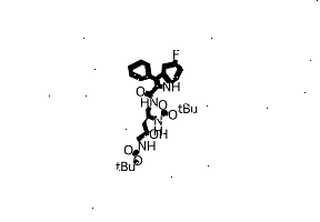 CC(C)(C)OC(=O)NCC(O)C[C@@H](CNC(=O)c1[nH]c2ccc(F)cc2c1-c1ccccc1)NC(=O)OC(C)(C)C